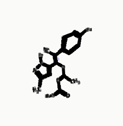 CCn1nc(C)cc1/C(OC(C)OC(=O)OCC(C)C)=C(\C#N)c1ccc(C(C)(C)C)cc1